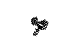 c1ccc(-c2ccc(-c3nc(-c4cccc(-c5cccc6oc7ccccc7c56)c4)cc(-c4cccc(-c5cccc6oc7ccccc7c56)c4)n3)cc2)cc1